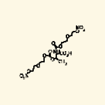 CC(OC(=O)OCCOCCO[N+](=O)[O-])C(NC(=O)OCCOCCO[N+](=O)[O-])C(=O)O